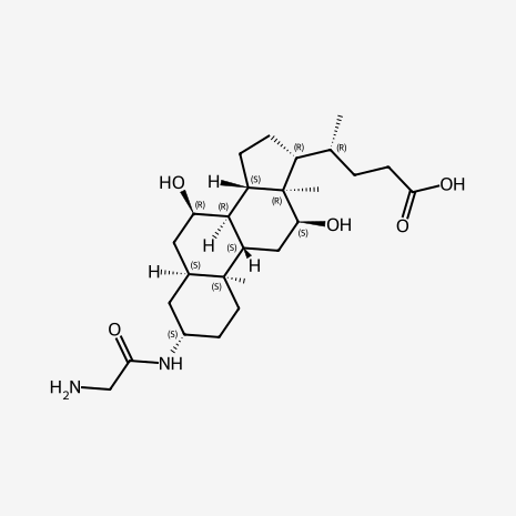 C[C@H](CCC(=O)O)[C@H]1CC[C@H]2[C@@H]3[C@H](O)C[C@@H]4C[C@@H](NC(=O)CN)CC[C@]4(C)[C@H]3C[C@H](O)[C@]12C